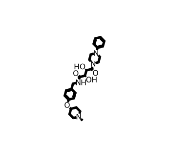 CN1CCC(Oc2ccc(CNC(=O)[C@H](O)[C@@H](O)C(=O)N3CCN(c4ccccc4)CC3)cc2)CC1